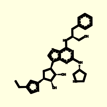 CCc1cnn([C@H]2C[C@@H](n3cnc4c(N[C@H](CO)Cc5ccccc5)nc(N[C@@H]5CCNC5)nc43)[C@H](O)[C@@H]2O)c1